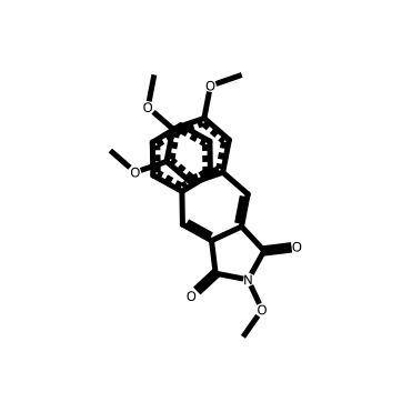 COc1cc(/C=C2/C(=O)N(OC)C(=O)/C2=C/c2ccccc2)cc(OC)c1OC